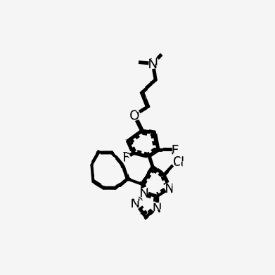 CN(C)CCCOc1cc(F)c(-c2c(Cl)nc3ncnn3c2C2CCCCCCC2)c(F)c1